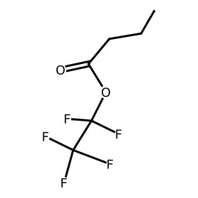 CCCC(=O)OC(F)(F)C(F)(F)F